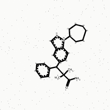 CC(C)(C(N)=O)C(c1ccccc1)c1ccc2c(cnn2C2CCCCCC2)c1